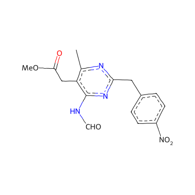 COC(=O)Cc1c(C)nc(Cc2ccc([N+](=O)[O-])cc2)nc1NC=O